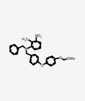 COCOc1ccc(Oc2ccc(CN(Cc3ccccc3)c3cccc([N+](=O)[O-])c3C)cc2)cc1